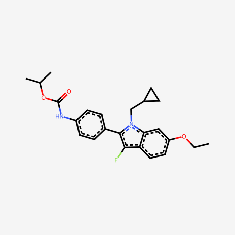 CCOc1ccc2c(F)c(-c3ccc(NC(=O)OC(C)C)cc3)n(CC3CC3)c2c1